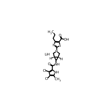 CCCc1nc(N2C[C@@H]3C(NC(=O)c4[nH]c(C)c(Cl)c4Cl)[C@@H]3C2)sc1C(=O)O.[LiH]